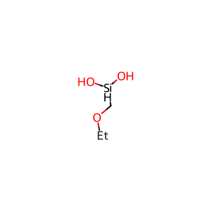 CCOC[SiH](O)O